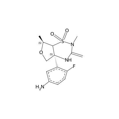 C=C1N[C@@]2(c3cc(N)ccc3F)CO[C@@H](C)C2S(=O)(=O)N1C